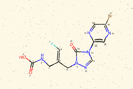 O=C(O)NCC(=CF)Cn1ncn(-c2cnc(Br)cn2)c1=O